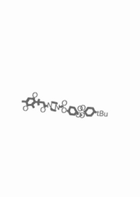 CC1=CC(=O)C(C(C)(C)CC(=O)N2CCN(C(=O)OC3CCC4(CC3)OOC3(CCC(C(C)(C)C)CC3)OO4)CC2)=C(C)C1=O